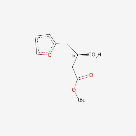 CC(C)(C)OC(=O)C[C@@H](Cc1ccco1)C(=O)O